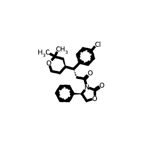 CC1(C)C[C@@H]([C@@H](CC(=O)N2C(=O)OC[C@H]2c2ccccc2)c2ccc(Cl)cc2)CCO1